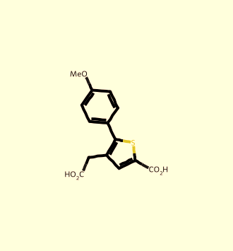 COc1ccc(-c2sc(C(=O)O)cc2CC(=O)O)cc1